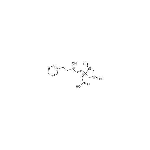 O=C(O)C[C@]1(C=C[C@@H](O)CCc2ccccc2)C[C@H](O)C[C@@H]1O